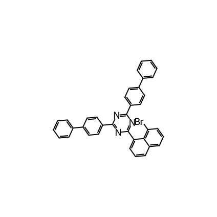 Brc1cccc2cccc(-c3nc(-c4ccc(-c5ccccc5)cc4)nc(-c4ccc(-c5ccccc5)cc4)n3)c12